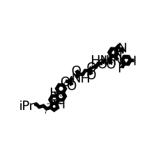 CC(C)CCC[C@@H](C)C1CC[C@H]2[C@@H]3CC=C4C[C@@H](OC(=O)CNC(=O)CCC(=O)OCCONC(=O)c5ccc6cncn6c5Nc5ccc(I)cc5F)CC[C@]4(C)[C@H]3CC[C@]12C